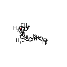 CC(Cc1ccc(-c2ncn(-c3ccc(OC(F)(F)F)cc3)n2)cc1)NC(=O)N=C1SCC(=O)N1c1ccc(F)cc1C(C)C